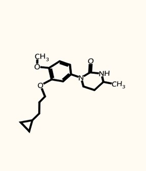 COc1ccc(N2CCC(C)NC2=O)cc1OCCCC1CC1